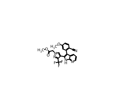 COC(=O)Cn1cc(-c2[nH]c3ncccc3c2-c2cc(OC)ccc2C#N)c(C(F)(F)F)n1